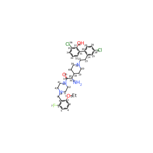 CCOc1cccc(F)c1CN1CCN(C(=O)[C@H](N)C2CCN(CCc3cc(Cl)ccc3-c3cccc(Cl)c3O)CC2)CC1